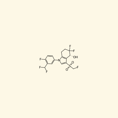 O=S(=O)(CF)c1cn(-c2ccc(F)c(C(F)F)c2)c2c1[C@@H](O)C(F)(F)CC2